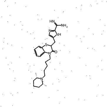 C[C@@H]1CCC[C@H](C)N1CCCCCN1C(=O)C(Cc2cnc(C(=N)N)[nH]2)Sc2ccccc21